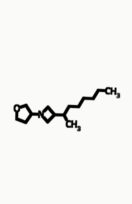 CCCCCCC(C)C1CN(C2CCOC2)C1